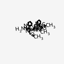 CCOCc1nc2c(N)nc3ccccc3c2n1CC(C)(O)OP(=O)(N[C@@H](C)C(=O)OC(C)C)Oc1ccccn1